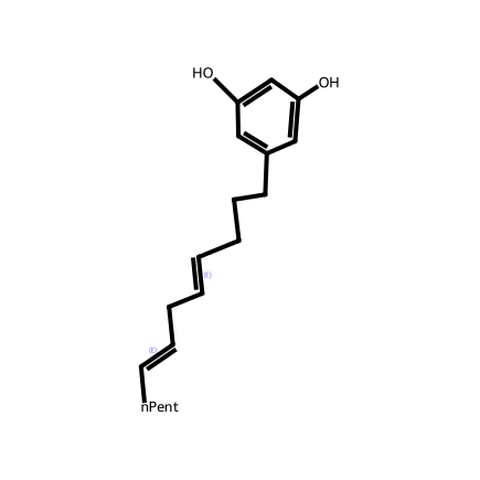 CCCCC/C=C/C/C=C/CCCc1cc(O)cc(O)c1